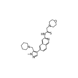 Cn1ncc(-c2ccc3cnc(NC(=S)CN4CCOCC4)cc3c2)c1CN1CCCCC1